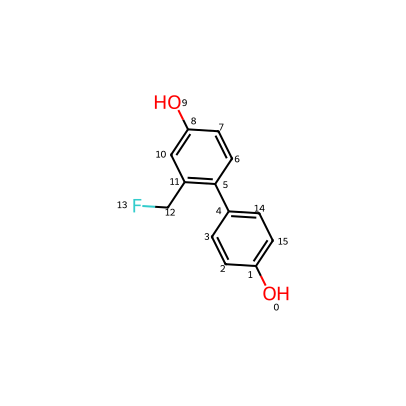 Oc1ccc(-c2ccc(O)cc2CF)cc1